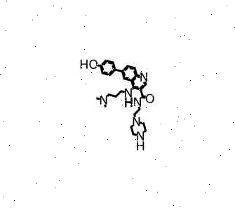 CN(C)CCCNc1c(C(=O)NCCN2CCNCC2)cnc2ccc(-c3ccc(O)cc3)cc12